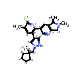 C=C1c2cc(-c3nc(F)c(C)cc3-c3cnn(CC4(C)CCCC4)c3)cnc2CN1C